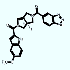 O=C(c1cc2cc(OC(F)(F)F)ccc2[nH]1)N1C=C2CN(C(=O)c3ccc4[nH]nnc4c3)C[C@H]2C1